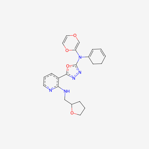 C1=CCCC(N(C2=COC=CO2)c2nnc(-c3cccnc3NCC3CCCO3)o2)=C1